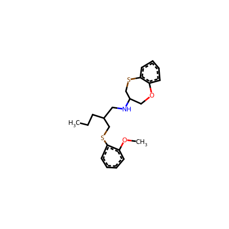 CCCC(CNC1COc2ccccc2SC1)CSc1ccccc1OC